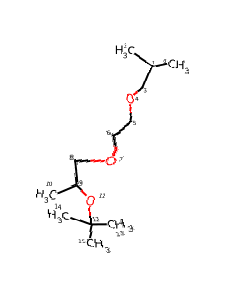 CC(C)COCCOCC(C)OC(C)(C)C